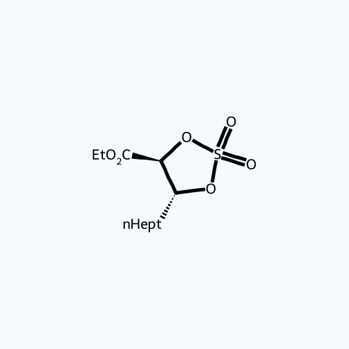 CCCCCCC[C@H]1OS(=O)(=O)O[C@@H]1C(=O)OCC